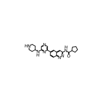 O=C(Nc1cc2cc(-c3cncc(NC4CCNCC4)n3)ccc2nn1)C1CCCC1